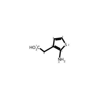 Nc1sccc1CC(=O)O